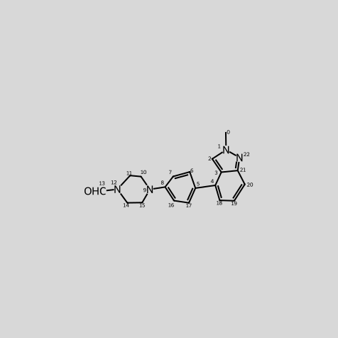 Cn1cc2c(-c3ccc(N4CCN(C=O)CC4)cc3)cccc2n1